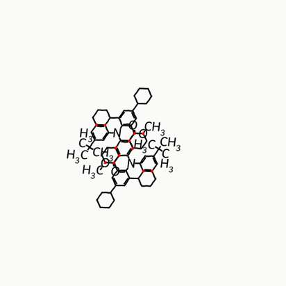 COC(=O)c1cc(N(c2cccc(C(C)(C)C)c2)c2c(C3CCCCC3)cc(C3CCCCC3)cc2C2CCCCC2)c(C(=O)OC)cc1N(c1cccc(C(C)(C)C)c1)c1c(C2CCCCC2)cc(C2CCCCC2)cc1C1CCCCC1